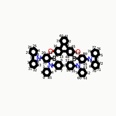 c1ccc(N2c3ccccc3B3c4cc5c(cc4Oc4cc(-n6c7ccccc7c7ccccc76)cc2c43)c2ccccc2c2cc3c(cc25)B2c4ccccc4N(c4ccccc4)c4cc(-n5c6ccccc6c6ccccc65)cc(c42)O3)cc1